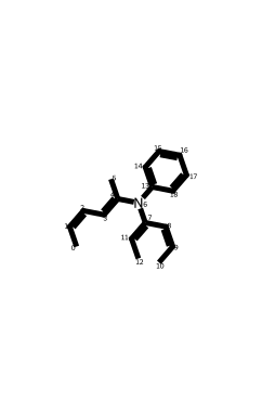 C/C=C\C=C(/C)N(C(/C=C\C)=C/C)c1ccccc1